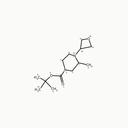 CC1CN(C(=O)OC(C)(C)C)CCN1C1COC1